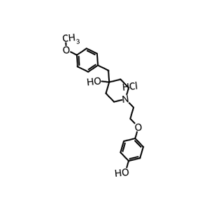 COc1ccc(CC2(O)CCN(CCOc3ccc(O)cc3)CC2)cc1.Cl